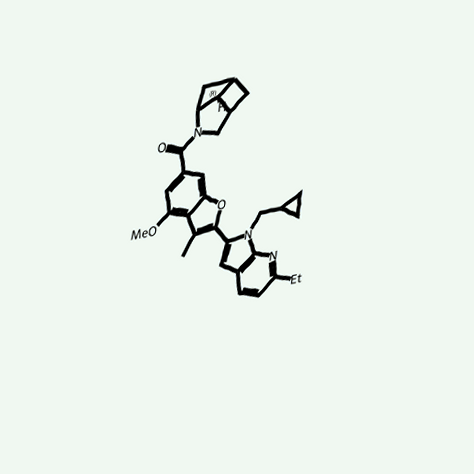 CCc1ccc2cc(-c3oc4cc(C(=O)N5CC6CC7CC5[C@H]76)cc(OC)c4c3C)n(CC3CC3)c2n1